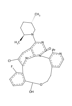 CC(C)c1nccc2c1-n1c(=O)nc(N3C[C@@H](C)CC[C@@H]3C)c3cc(Cl)c(nc31)-c1c(F)cccc1C(O)OCC2